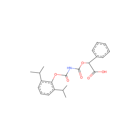 CC(C)c1cccc(C(C)C)c1OC(=O)NC(=O)OC(C(=O)O)c1ccccc1